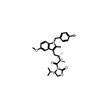 COc1ccc2c(c1)c(C[C@H](C)[C@@H](C)C(=O)N1C(=O)OC[C@H]1C(C)C)c(C)n2Cc1ccc(Br)cc1